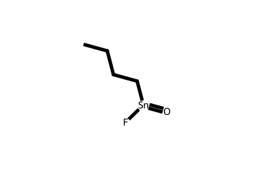 CCC[CH2][Sn](=[O])[F]